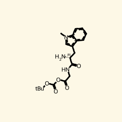 Cn1cc(C[C@@H](N)C(=O)NCC(=O)OC(=O)OC(C)(C)C)c2ccccc21